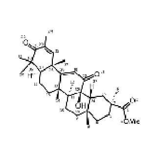 COC(=O)[C@@]1(C)CC[C@]2(C)CC[C@@]3(C)[C@]4(C)CC[C@H]5C(C)(C)C(=O)C(I)=C[C@]5(C)C4=CC(=O)[C@]3(O)[C@@H]2C1